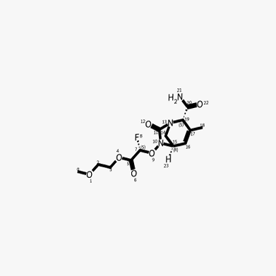 COCCOC(=O)[C@H](F)ON1C(=O)N2C[C@H]1C=C(C)[C@H]2C(N)=O